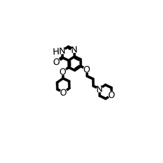 O=c1[nH]cnc2cc(OCCCN3CCOCC3)cc(OC3CCOCC3)c12